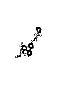 N#CCNC(=O)C1CC(F)(F)CCC1c1ccccc1-c1ccc(SCCNS(=O)(=O)c2ccccn2)cc1